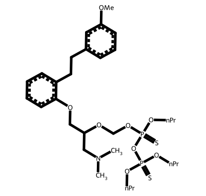 CCCOP(=S)(OCCC)OP(=S)(OCCC)OCOC(COc1ccccc1CCc1cccc(OC)c1)CN(C)C